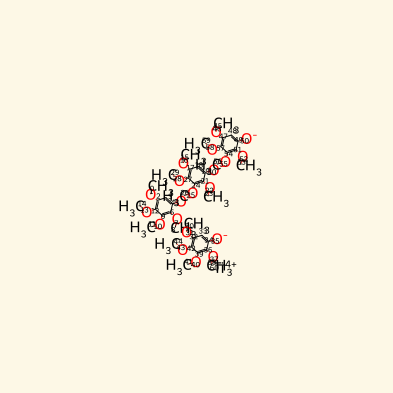 COc1cc([O-])c(OC)c(OC)c1OC.COc1cc([O-])c(OC)c(OC)c1OC.COc1cc([O-])c(OC)c(OC)c1OC.COc1cc([O-])c(OC)c(OC)c1OC.[Ti+4]